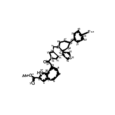 COC(=O)c1cc2cccc(C(=O)N3C[C@@H](CN4CCC(c5ccc(F)cc5)CC4)[C@H](c4ccsc4)C3)c2[nH]1